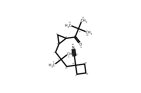 CC(C)(CC1CC1C(=O)C(C)(C)C)CC1(C#N)CCC1